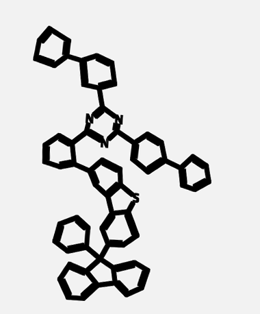 c1ccc(-c2ccc(-c3nc(-c4cccc(-c5ccccc5)c4)nc(-c4ccccc4-c4ccc5sc6ccc(C7(c8ccccc8)c8ccccc8-c8ccccc87)cc6c5c4)n3)cc2)cc1